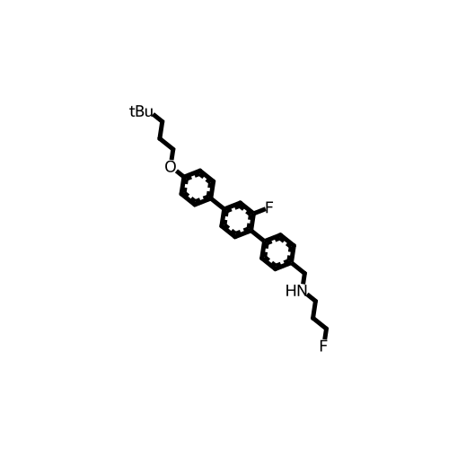 CC(C)(C)CCCOc1ccc(-c2ccc(-c3ccc(CNCCCF)cc3)c(F)c2)cc1